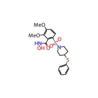 COc1ccc(S(=O)(=O)N2CCC(Sc3ccccc3)CC2)c(C(=O)NO)c1OC